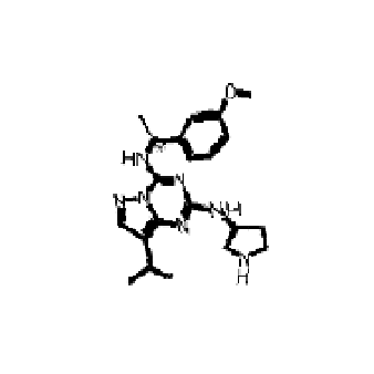 COc1cccc([C@H](C)Nc2nc(NC3CCNC3)nc3c(C(C)C)cnn23)c1